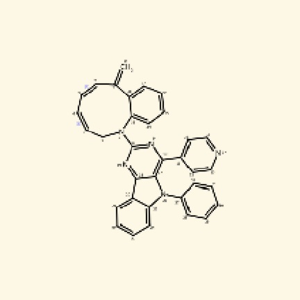 C=C1/C=C\C=C/CN(c2nc(-c3ccncc3)c3c(n2)c2ccccc2n3-c2ccccc2)c2ccccc21